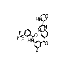 O=C(Nc1cc(F)cc(C(=O)c2ccc3nc(C4COCCN4)cnc3c2)c1)c1cccc(C(F)(F)F)c1